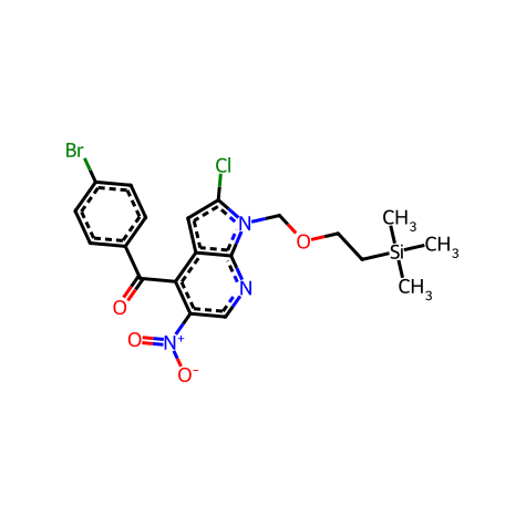 C[Si](C)(C)CCOCn1c(Cl)cc2c(C(=O)c3ccc(Br)cc3)c([N+](=O)[O-])cnc21